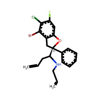 C=CCNC(CC=C)[C@@]1(c2ccccc2)Cc2c(cc(F)c(Cl)c2Br)O1